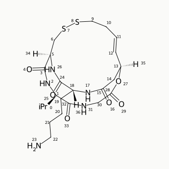 CC(C)[C@H]1NC(=O)[C@H]2CSSCC/C=C/[C@H](CC(=O)N[C@H](CCCCN)C(=O)N2)OC(=O)CNC1=O